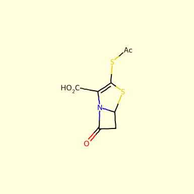 CC(=O)SC1=C(C(=O)O)N2C(=O)CC2S1